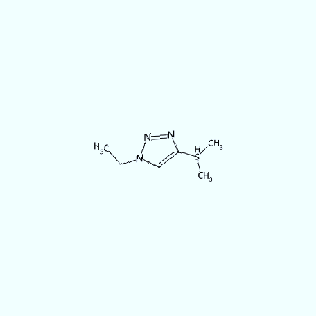 CCn1cc([SH](C)C)nn1